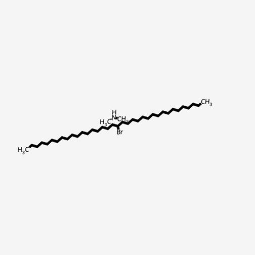 CCCCCCCCCCCCCCCCCCC(Br)CCCCCCCCCCCCCCCCC.CNC